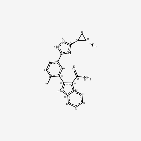 Cc1ccc(-c2noc([C@H]3C[C@@H]3F)n2)cc1-c1nc2ccccn2c1C(N)=O